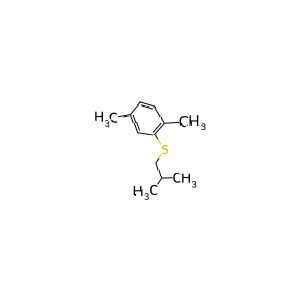 Cc1ccc(C)c(SCC(C)C)c1